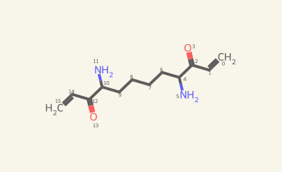 C=CC(=O)C(N)CCCCC(N)C(=O)C=C